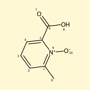 Cc1cccc(C(=O)O)[n+]1[O-]